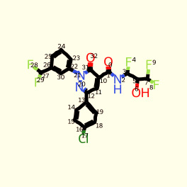 O=C(NC(F)C(O)C(F)F)c1cc(-c2ccc(Cl)cc2)nn(-c2cccc(C(F)F)c2)c1=O